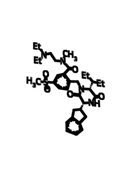 CCC(CC)[C@@H]1C(=O)N[C@H](C2Cc3ccccc3C2)C(=O)N1Cc1ccc(S(C)(=O)=O)cc1C(=O)N(C)CCN(CC)CC